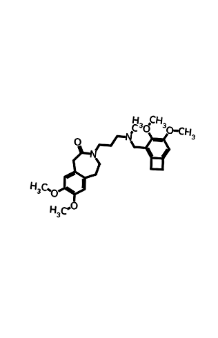 COc1cc2c(cc1OC)CC(=O)N(CCCN(C)Cc1c3c(cc(OC)c1OC)CC3)CC2